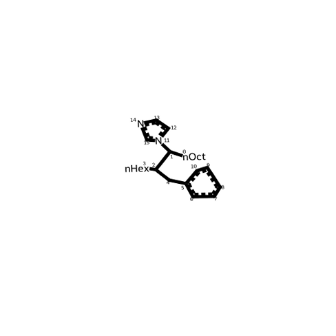 CCCCCCCCC(C(CCCCCC)Cc1ccccc1)n1ccnc1